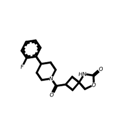 O=C1NC2(CO1)CC(C(=O)N1CCC(c3ccccc3F)CC1)C2